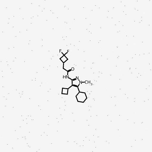 Cn1nc(NC(=O)CC2CC(F)(F)C2)c(C2CCC2)c1C1CCCCC1